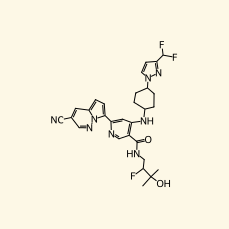 CC(C)(O)C(F)CNC(=O)c1cnc(-c2ccc3cc(C#N)cnn23)cc1NC1CCC(n2ccc(C(F)F)n2)CC1